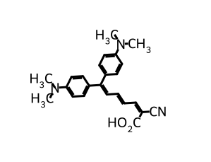 CN(C)c1ccc(C(=C/C=C/C=C(/C#N)C(=O)O)c2ccc(N(C)C)cc2)cc1